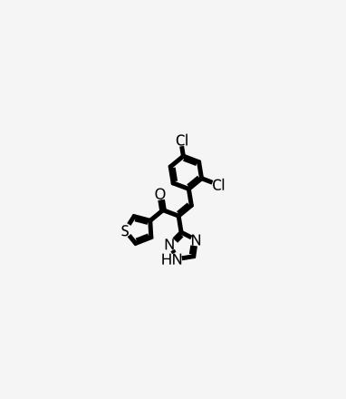 O=C(C(=Cc1ccc(Cl)cc1Cl)c1nc[nH]n1)c1ccsc1